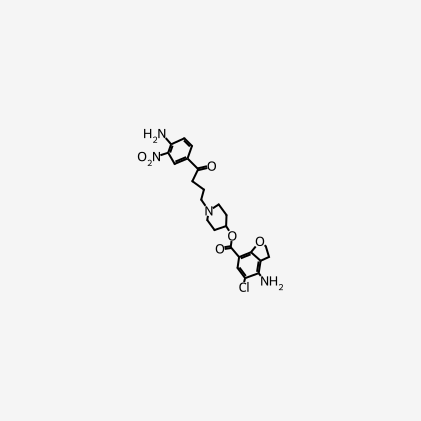 Nc1ccc(C(=O)CCCN2CCC(OC(=O)c3cc(Cl)c(N)c4c3OCC4)CC2)cc1[N+](=O)[O-]